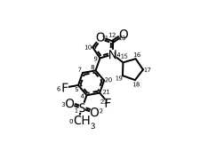 CS(=O)(=O)c1c(F)cc(-c2coc(=O)n2C2CCCC2)cc1F